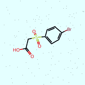 O=C(O)CS(=O)(=O)c1ccc(Br)cc1